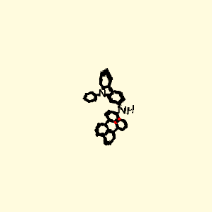 c1ccc(-c2cccc3cccc(-c4ccc(Nc5ccc6c7ccccc7n(-c7ccccc7)c6c5)cc4)c23)cc1